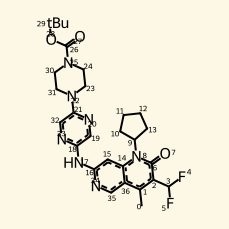 Cc1c(C(F)F)c(=O)n(C2CCCC2)c2cc(Nc3cnc(N4CCN(C(=O)OC(C)(C)C)CC4)cn3)ncc12